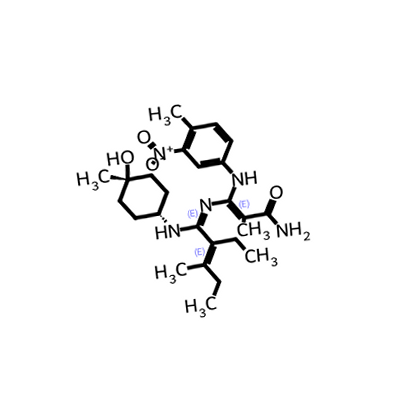 CC/C(C)=C(CC)/C(=N\C(Nc1ccc(C)c([N+](=O)[O-])c1)=C(/C)C(N)=O)N[C@H]1CC[C@@](C)(O)CC1